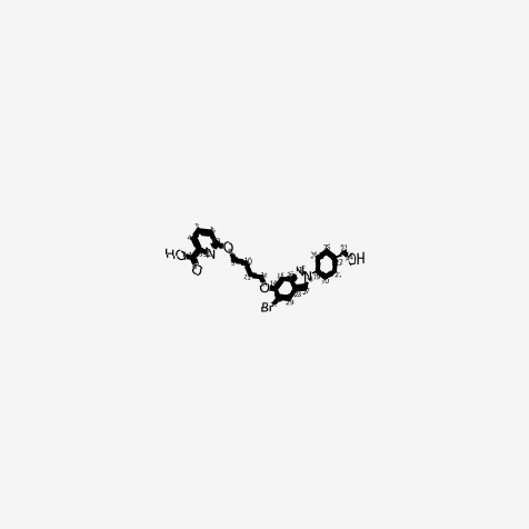 O=C(O)c1cccc(OCCCCOc2cc3nn([C@H]4CC[C@H](CO)CC4)cc3cc2Br)n1